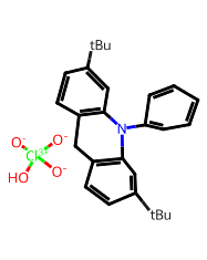 CC(C)(C)c1ccc2c(c1)N(c1ccccc1)c1cc(C(C)(C)C)ccc1C2.[O-][Cl+3]([O-])([O-])O